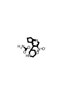 NC(=O)O[C@]1(c2c([N+](=O)[O-])cnc3c2CCC3)CCCNC1